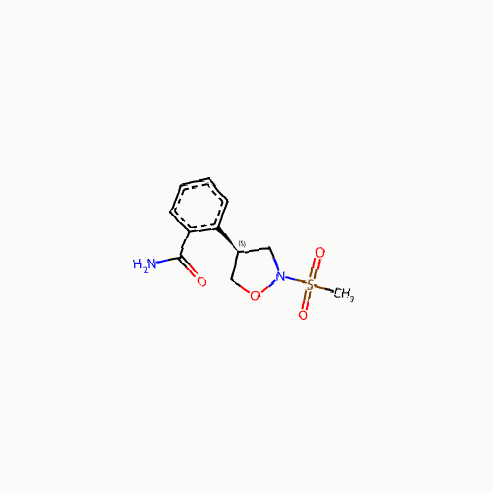 CS(=O)(=O)N1C[C@H](c2ccccc2C(N)=O)CO1